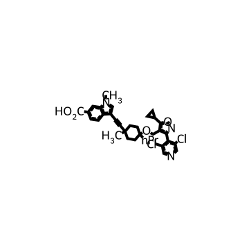 CCCC1(OCc2c(-c3c(Cl)cncc3Cl)noc2C2CC2)CCC(C)(C#Cc2cn(C)c3cc(C(=O)O)ccc23)CC1